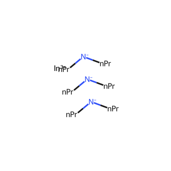 CCC[N-]CCC.CCC[N-]CCC.CCC[N-]CCC.[In+3]